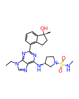 CCn1cnc2c(N[C@H]3CCN(S(=O)(=O)NC)C3)nc(-c3cccc4c3CC[C@@]4(C)O)nc21